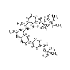 CC[Si](CC)(CC)OC(C)(C)C(F)(F)c1cccc([C@@H](C)Nc2nc(C)nc3ncc(C4=CCN(C(=O)OC(C)(C)C)CC4)cc23)c1F